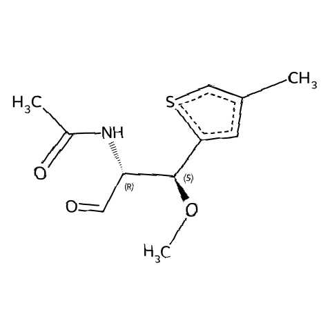 CO[C@H](c1cc(C)cs1)[C@H](C=O)NC(C)=O